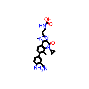 Cc1c(-c2ccc(N)c(C#N)c2)ccc2c3c(nc(CCNC(=O)O)n3C)c(=O)n(C3CC3)c12